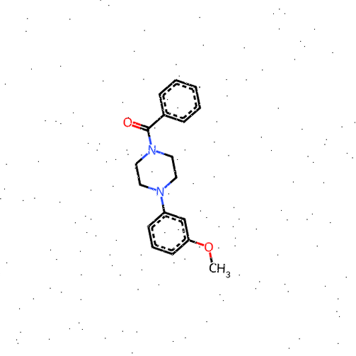 COc1cccc(N2CCN(C(=O)c3cc[c]cc3)CC2)c1